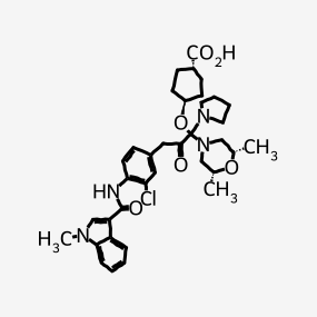 C[C@@H]1CN(C(O[C@H]2CC[C@H](C(=O)O)CC2)(C(=O)Cc2ccc(NC(=O)c3cn(C)c4ccccc34)c(Cl)c2)N2CCCC2)C[C@H](C)O1